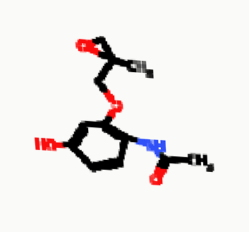 CC(=O)Nc1ccc(O)cc1OCC1(C)CO1